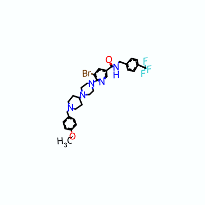 COc1ccc(CN2CCC(N3CCN(c4ncc(C(=O)NCc5ccc(C(F)(F)F)cc5)cc4Br)CC3)CC2)cc1